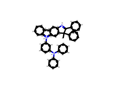 CC1(c2ccccc2)C(c2ccccc2)=Nc2cc3c4ccccc4n(-c4cccc(N(c5ccccc5)c5ccccc5)c4)c3cc21